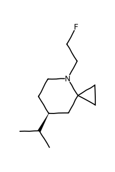 CC(C)[C@H]1CCN(CCF)C2(CC2)C1